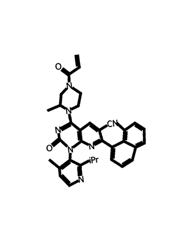 C=CC(=O)N1CCN(c2nc(=O)n(-c3c(C)ccnc3C(C)C)c3nc(-c4cccc5cccc(C)c45)c(C#N)cc23)C(C)C1